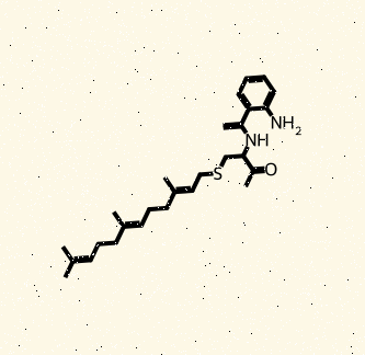 C=C(NC(CSC/C=C(\C)CC/C=C(\C)CCC=C(C)C)C(C)=O)c1ccccc1N